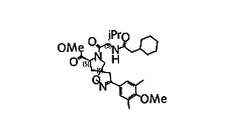 COC(=O)[C@@H]1C[C@]2(CC(c3cc(C)c(OC)c(C)c3)=NO2)CN1C(=O)[C@@H](NC(=O)CC1CCCCC1)C(C)C